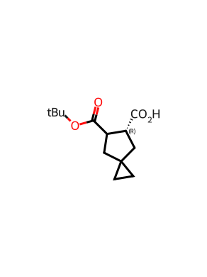 CC(C)(C)OC(=O)C1CC2(CC2)C[C@H]1C(=O)O